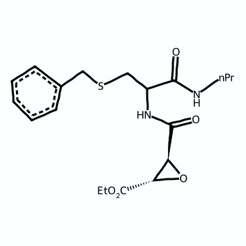 CCCNC(=O)C(CSCc1ccccc1)NC(=O)[C@H]1O[C@@H]1C(=O)OCC